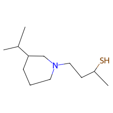 CC(S)CCN1CCCC(C(C)C)C1